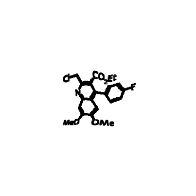 CCOC(=O)c1c(CCl)nc2cc(OC)c(OC)cc2c1-c1ccc(F)cc1